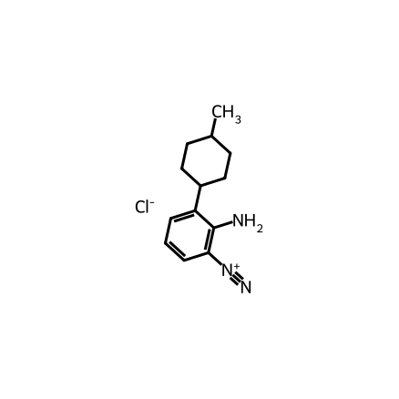 CC1CCC(c2cccc([N+]#N)c2N)CC1.[Cl-]